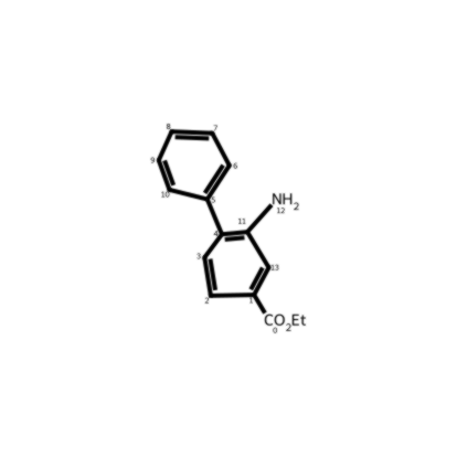 CCOC(=O)c1ccc(-c2ccccc2)c(N)c1